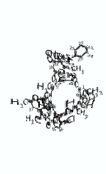 CC[C@H]1OC(=O)[C@H](C)[C@@H](O[C@H]2C[C@@](C)(OC)[C@](O)(CSc3ccccc3)[C@H](C)O2)[C@H](C)[C@@H](O[C@@H]2O[C@H](C)C[C@H](N(C)S(=O)(=O)c3ccc(Cl)cc3)[C@H]2O)[C@](C)(O)C[C@@H](C)CN[C@H](C)[C@@H](O)[C@]1(C)O